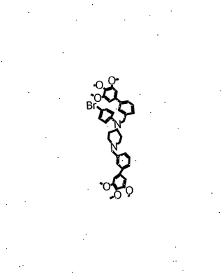 COc1cc(-c2cccc(CN3CCC(N(Cc4cccc(-c5cc(OC)c(OC)c(OC)c5)c4)c4ccc(Br)cc4)CC3)c2)cc(OC)c1OC